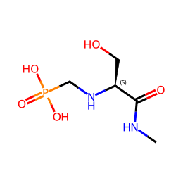 CNC(=O)[C@H](CO)NCP(=O)(O)O